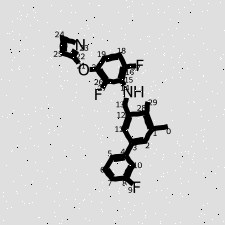 Cc1cc(-c2cccc(F)c2)cc(CNc2c(F)ccc(OC3=NC=C3)c2F)c1C